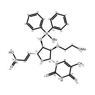 COCCO[C@@H]1[C@H](O[Si](c2ccccc2)(c2ccccc2)C(C)(C)C)[C@@H](/C=C/[PH](=O)O)O[C@H]1n1cc(C)c(=O)[nH]c1=O